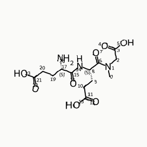 CN(CC(=O)O)C(=O)[C@H](CCC(=O)O)NC(=O)[C@@H](N)CCC(=O)O